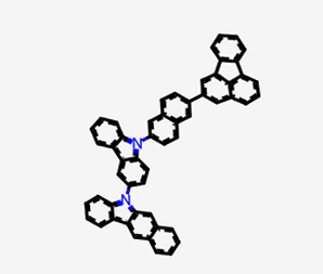 c1ccc2c(c1)-c1cccc3cc(-c4ccc5cc(-n6c7ccccc7c7cc(-n8c9ccccc9c9cc%10ccccc%10cc98)ccc76)ccc5c4)cc-2c13